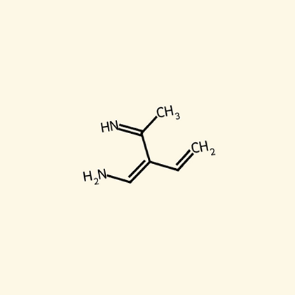 C=C/C(=C/N)C(C)=N